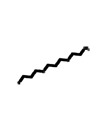 CCCOCCCOCCC[S]